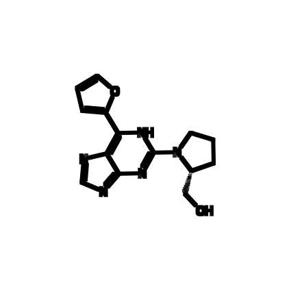 OC[C@H]1CCCN1c1nc2ncnc-2c(-c2ccco2)[nH]1